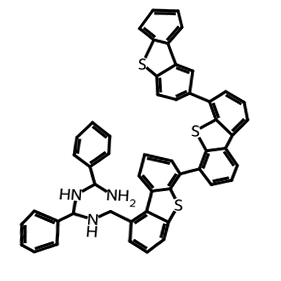 NC(NC(NCc1cccc2sc3c(-c4cccc5c4sc4c(-c6ccc7sc8ccccc8c7c6)cccc45)cccc3c12)c1ccccc1)c1ccccc1